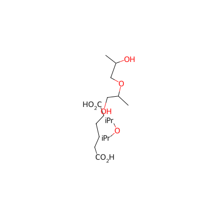 CC(C)OC(C)C.CC(O)COC(C)CO.O=C(O)CCCCC(=O)O